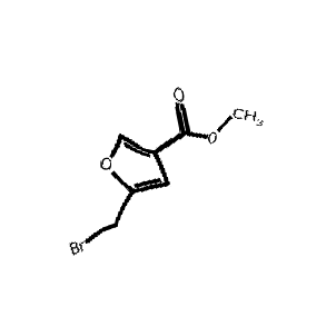 COC(=O)c1coc(CBr)c1